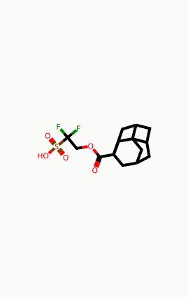 O=C(OCC(F)(F)S(=O)(=O)O)C12CC3CC4CC(C1)C4(C3)C2